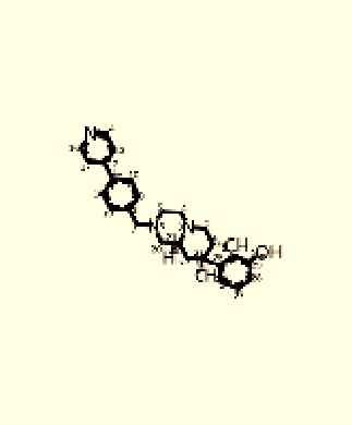 C[C@H]1CN2CCN(Cc3ccc(-c4ccncc4)cc3)C[C@H]2C[C@@]1(C)c1cccc(O)c1